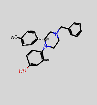 Cc1cc(O)ccc1N1CCN(Cc2ccccc2)C[C@H]1c1ccc(C#N)cc1